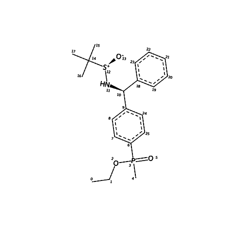 CCOP(C)(=O)c1ccc([C@@H](N[S@+]([O-])C(C)(C)C)c2ccccc2)cc1